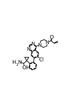 C=CC(=O)N1CCN(c2ncnc3cc(-c4ccccc4C4(C(N)O)CC4)c(Cl)cc23)CC1